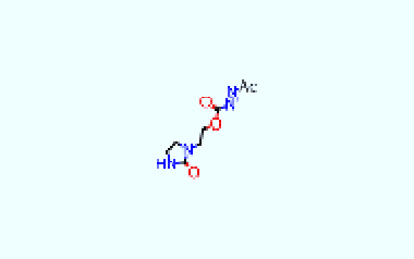 CC(=O)/N=N/C(=O)OCCN1CCNC1=O